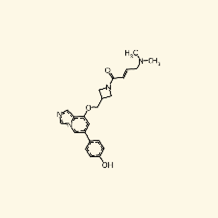 CN(C)C/C=C/C(=O)N1CC(COc2cc(-c3ccc(O)cc3)cn3cncc23)C1